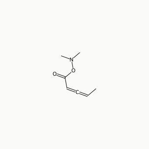 CC=C=CC(=O)ON(C)C